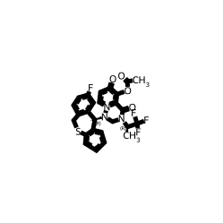 CC(=O)Oc1c2n(ccc1=O)N([C@@H]1c3cc(F)ccc3CSc3ccccc31)CN([C@H](C)C(F)(F)F)C2=O